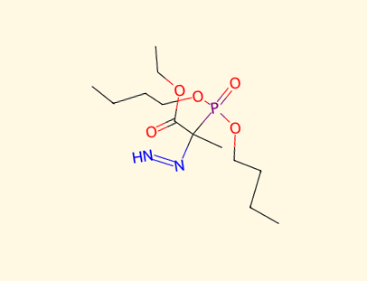 CCCCOP(=O)(OCCCC)C(C)(N=N)C(=O)OCC